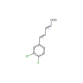 O=[C]/C=C/C=C/c1ccc(F)c(Cl)c1